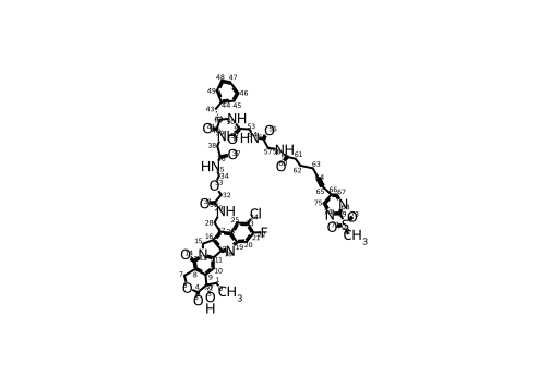 CC[C@@]1(O)C(=O)OCc2c1cc1n(c2=O)Cc2c-1nc1cc(F)c(Cl)cc1c2CNC(=O)COCNC(=O)CNC(=O)[C@H](Cc1ccccc1)NC(=O)CNC(=O)CNC(=O)CCCC#Cc1cnc(S(C)(=O)=O)nc1